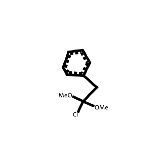 COC(Cl)(Cc1ccccc1)OC